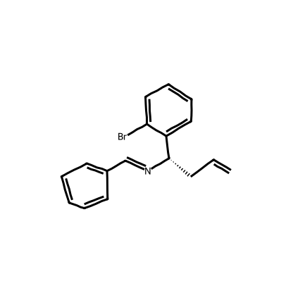 C=CC[C@H](N=Cc1ccccc1)c1ccccc1Br